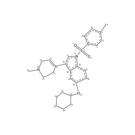 Cc1ccc(S(=O)(=O)n2cc(C3=CCN(C)CC3)c3cc(OC4CCCCC4)ccc32)cc1